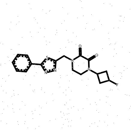 O=C1C(=O)N(C2CC(F)C2)CCN1Cc1nnc(-c2ccccc2)s1